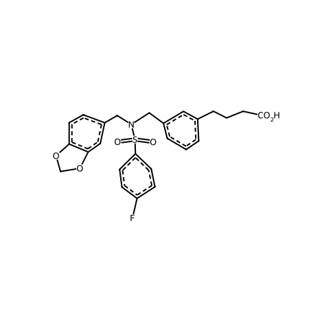 O=C(O)CCCc1cccc(CN(Cc2ccc3c(c2)OCO3)S(=O)(=O)c2ccc(F)cc2)c1